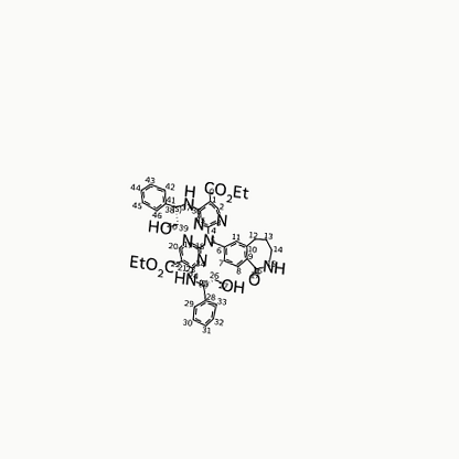 CCOC(=O)c1cnc(N(c2ccc3c(c2)CCCNC3=O)c2ncc(C(=O)OCC)c(N[C@H](CO)c3ccccc3)n2)nc1N[C@H](CO)c1ccccc1